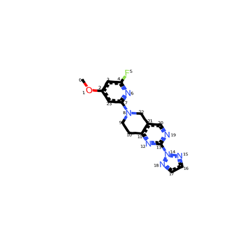 COc1cc(F)nc(N2CCc3nc(-n4nccn4)ncc3C2)c1